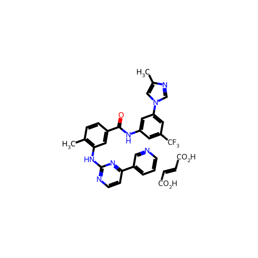 Cc1cn(-c2cc(NC(=O)c3ccc(C)c(Nc4nccc(-c5cccnc5)n4)c3)cc(C(F)(F)F)c2)cn1.O=C(O)C=CC(=O)O